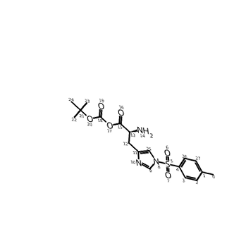 Cc1ccc(S(=O)(=O)n2cnc(C[C@H](N)C(=O)OC(=O)OC(C)(C)C)c2)cc1